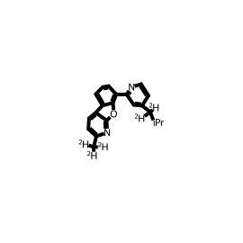 [2H]C([2H])([2H])c1ccc2c(n1)oc1c(-c3cc(C([2H])([2H])C(C)C)ccn3)cccc12